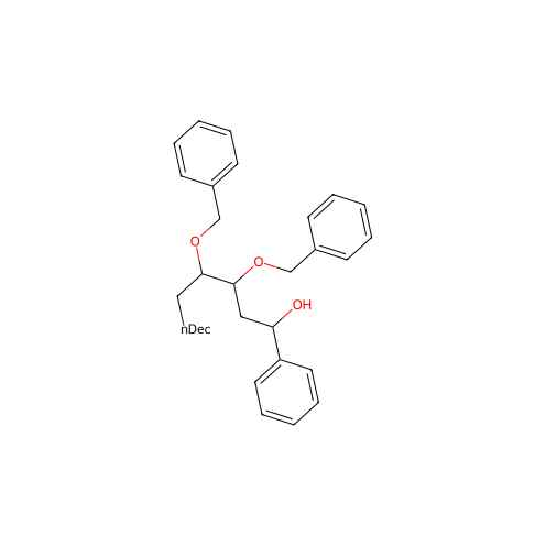 CCCCCCCCCCCC(OCc1ccccc1)C(CC(O)c1ccccc1)OCc1ccccc1